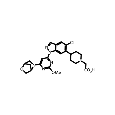 COc1nc(N2CC3CC2CO3)cc(-n2ncc3cc(Cl)c(C4CCN(CC(=O)O)CC4)cc32)n1